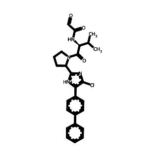 CC(C)[C@H](NC(=O)C=O)C(=O)N1CCCC1c1nc(Cl)c(-c2ccc(-c3ccccc3)cc2)[nH]1